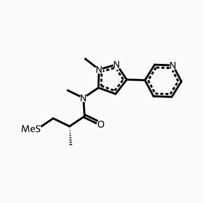 CSC[C@@H](C)C(=O)N(C)c1cc(-c2cccnc2)nn1C